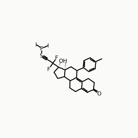 Cc1ccc(C2C[C@@]3(C)C(CC[C@@]3(O)C(F)(F)C#SP(I)I)C3CCC4=CC(=O)CCC4=C23)cc1